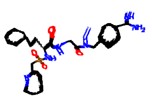 N=C(N)c1ccc(CNC(=O)CNC(=O)[C@@H](CCc2ccccc2)NS(=O)(=O)Cc2ccccn2)cc1